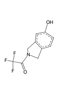 O=C(N1Cc2ccc(O)cc2C1)C(F)(F)F